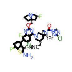 CC(C)[C@H]1N(C(=O)n2cnc(Cl)n2)C[C@]12C[C@H](CC#N)CN(c1nc(OC[C@@]34CCCN3C[C@H](F)C4)nc3c(F)c(-c4ccc(F)c5sc(N)c(C#N)c45)c(Cl)cc13)C2